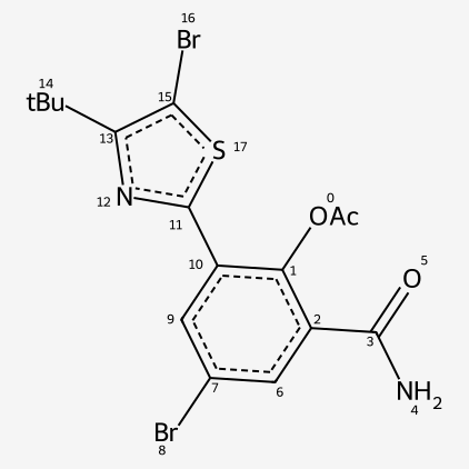 CC(=O)Oc1c(C(N)=O)cc(Br)cc1-c1nc(C(C)(C)C)c(Br)s1